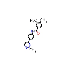 Cc1nccc(-c2ccc(NC(=O)c3ccc(C)c(C)c3)cc2)n1